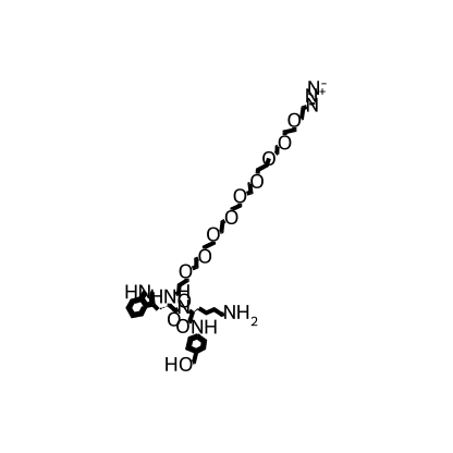 [N-]=[N+]=NCCOCCOCCOCCOCCOCCOCCOCCOCCOCCC(=O)N[C@@H](Cc1c[nH]c2ccccc12)C(=O)N[C@H](CCCCN)C(=O)Nc1ccc(CO)cc1